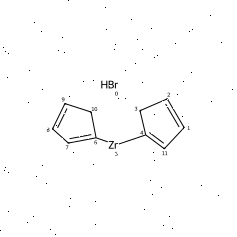 Br.C1=CC[C]([Zr][C]2=CC=CC2)=C1